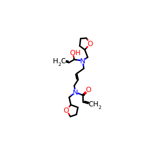 C=CC(=O)N(C/C=C/CN(CC1CCCO1)C(O)C=C)CC1CCCO1